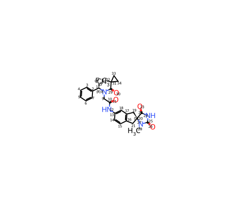 C[C@H](c1ccccc1)N(CC(=O)Nc1ccc2c(c1)C[C@@]1(C2)C(=O)NC(=O)N1C)C(=O)C1(C(F)(F)F)CC1